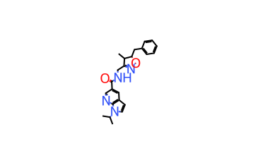 CC1C(CNC(=O)c2cnc3c(ccn3C(C)C)c2)=NOC1Cc1ccccc1